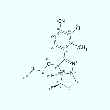 Cc1c(C2=NN3CC[C@@H](F)[C@H]3C2OCCF)ccc(C#N)c1Cl